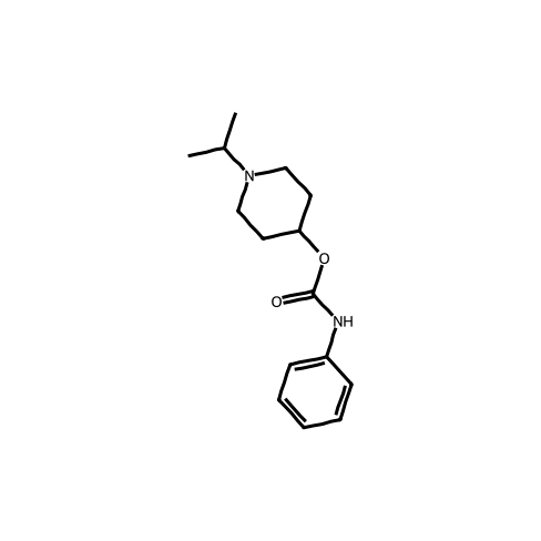 CC(C)N1CCC(OC(=O)Nc2ccccc2)CC1